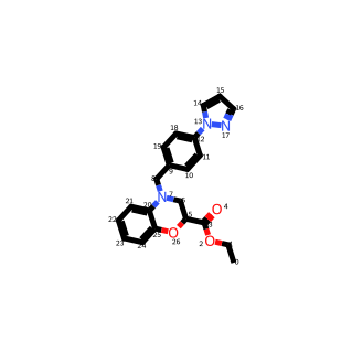 CCOC(=O)C1CN(Cc2ccc(-n3cccn3)cc2)c2ccccc2O1